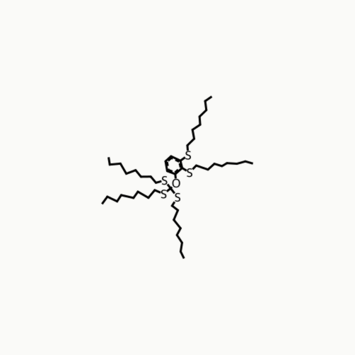 CCCCCCCCSc1cccc(OC(SCCCCCCCC)(SCCCCCCCC)SCCCCCCCC)c1SCCCCCCCC